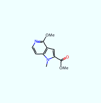 COC(=O)c1cc2c(OC)nccc2n1C